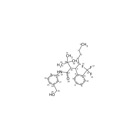 CCCCCC(c1ccccc1C(F)(F)F)C(C(=O)Nc1cccc(CO)c1)C(C)(C)C